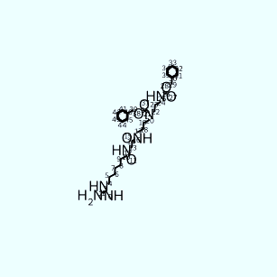 N=C(N)NCCCCCCC(=O)NCC(=O)NCCCCN(CCCNC(=O)OCc1ccccc1)C(=O)OCc1ccccc1